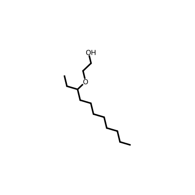 CCCCCCCCC(CC)OCCO